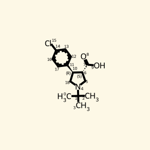 CC(C)(C)N1C[C@@H](C(=O)O)[C@H](c2ccc(Cl)cc2)C1